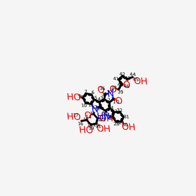 O=C1c2c(c3c4ccc(O)cc4n(C4OC(CO)C(O)C(O)C4O)c3c3[nH]c4cc(O)ccc4c23)C(=O)N1OCc1ccc(CO)o1